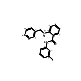 Cc1cccc(NC(=O)c2ccccc2NCc2ccncc2)c1